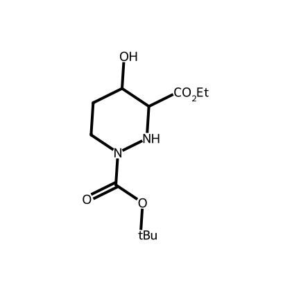 CCOC(=O)C1NN(C(=O)OC(C)(C)C)CCC1O